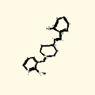 COc1ncccc1CN1CCC(C=Cc2ccccc2OCC(C)C)CC1